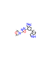 C[C@@H]1CN(Cc2nnc(-c3cc(-c4cccc5[nH]ccc45)cc4c3cnn4C)o2)C[C@H](C)O1